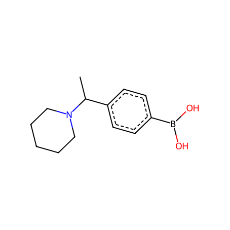 CC(c1ccc(B(O)O)cc1)N1CCCCC1